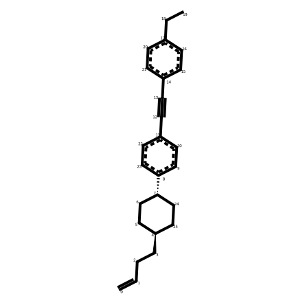 C=CCC[C@H]1CC[C@H](c2ccc(C#Cc3ccc(CC)cc3)cc2)CC1